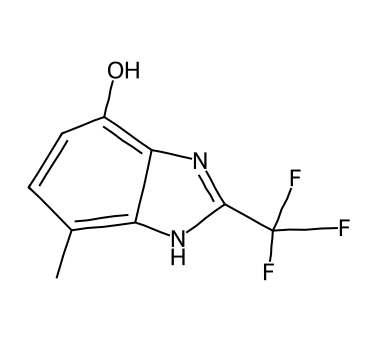 Cc1ccc(O)c2nc(C(F)(F)F)[nH]c12